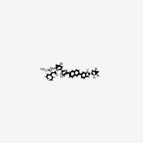 O=C(O)N[C@H](C(=O)N1[C@@H]2C[C@@H]2C[C@H]1c1nc(-c2ccc3cc(-c4ccc5nc([C@@H]6C[C@@H]7C[C@H]7N6)[nH]c5c4)ccc3c2)c[nH]1)C1CCOCC1